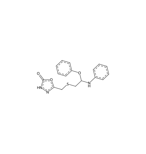 O=c1[nH]nc(CSCC(Nc2ccccc2)Oc2ccccc2)o1